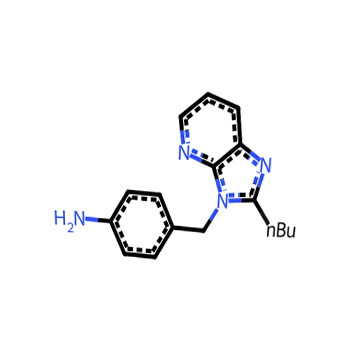 CCCCc1nc2cccnc2n1Cc1ccc(N)cc1